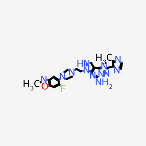 Cc1nc2cc(N3CCN(CCN4NCc5c4nc(N)n4nc(-c6nccnc6C)nc54)CC3)c(F)cc2o1